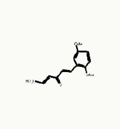 COc1ccc(OC)c(C=CC(=O)C=CC(=O)O)c1